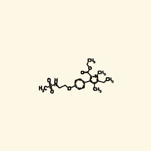 CCOC(=O)c1c(-c2ccc(OCCNS(C)(=O)=O)cc2)c(C)c(CC)n1C